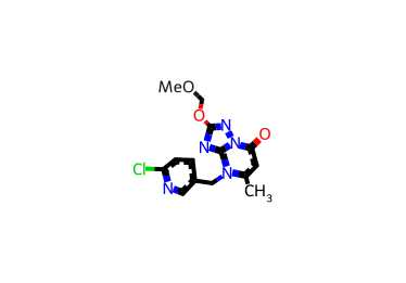 COCOc1nc2n(Cc3ccc(Cl)nc3)c(C)cc(=O)n2n1